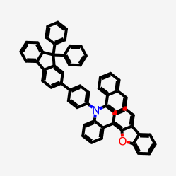 c1ccc(C2(c3ccccc3)c3ccccc3-c3ccc(-c4ccc(N(c5ccccc5-c5cccc6c5oc5ccccc56)c5cccc6ccccc56)cc4)cc32)cc1